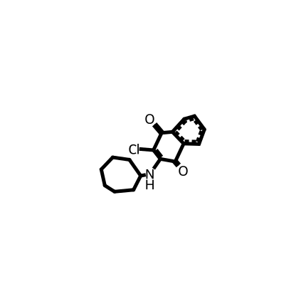 O=C1C(Cl)=C(NC2CCCCCC2)C(=O)c2ccccc21